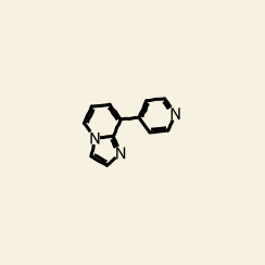 c1cc(-c2ccncc2)c2nccn2c1